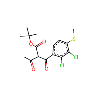 CSc1ccc(C(=O)C(C(C)=O)C(=O)OC(C)(C)C)c(Cl)c1Cl